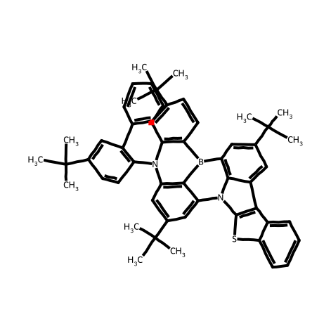 CC(C)(C)c1ccc(N2c3cc(C(C)(C)C)ccc3B3c4c2cc(C(C)(C)C)cc4-n2c4sc5ccccc5c4c4cc(C(C)(C)C)cc3c42)c(-c2ccccc2)c1